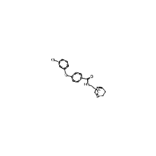 O=C(NC1CC2CCN(CC2)C1)c1ccc(Oc2cccc(Cl)c2)cc1